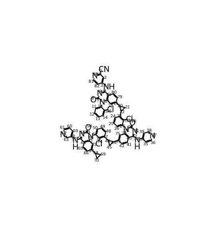 N#Cc1cc(Nc2nc(=O)n(-c3ccccc3Cl)c3cc(C4CC4c4cccc(-n5c(=O)nc(Nc6ccncc6)c6ccc(C7CC7c7cccc(-n8c(=O)nc(Nc9cccnc9)c9ccc(C%10CC%10)cc98)c7Cl)cc65)c4Cl)ccc23)ccn1